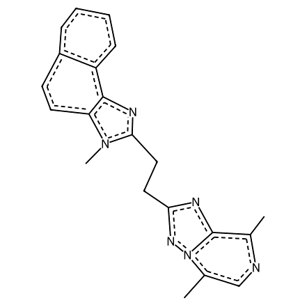 Cc1ncc(C)n2nc(CCc3nc4c5ccccc5ccc4n3C)nc12